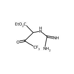 CCOC(=O)C(NC(=N)N)C(=O)C(F)(F)F